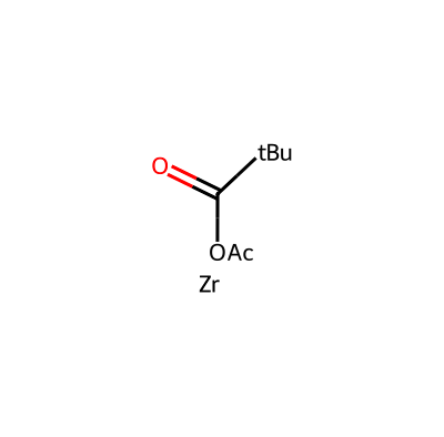 CC(=O)OC(=O)C(C)(C)C.[Zr]